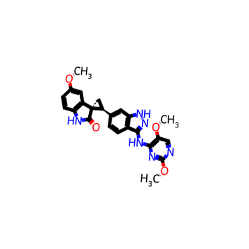 COc1ccc2c(c1)[C@]1(C[C@H]1c1ccc3c(Nc4nc(OC)ncc4OC)n[nH]c3c1)C(=O)N2